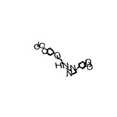 CC(=O)O[C@H]1CCc2cc(OCCCNCc3nccc(-c4ccc5c(c4)OCO5)n3)ccc21